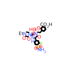 CCN1CCN(C(=O)NC(C(=O)N[C@H]2Cc3cccc(C(=O)O)c3OB2O)c2ccc(S(N)(=O)=O)c(F)c2)C(=O)C1=O